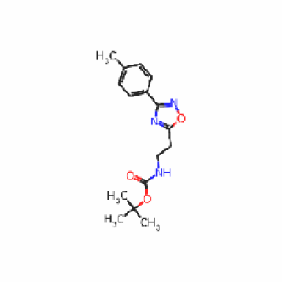 Cc1ccc(-c2noc(CCNC(=O)OC(C)(C)C)n2)cc1